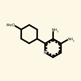 COC1CCC(c2nccc(N)c2N)CC1